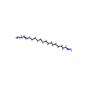 CCCCCC=NCCCCCCCCCCCCCCCN